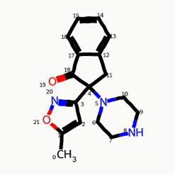 Cc1cc(C2(N3CCNCC3)Cc3ccccc3C2=O)no1